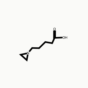 O=C(O)CCCCN1CC1